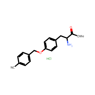 COC(=O)C(N)Cc1ccc(OCc2ccc(C#N)cc2)cc1.Cl